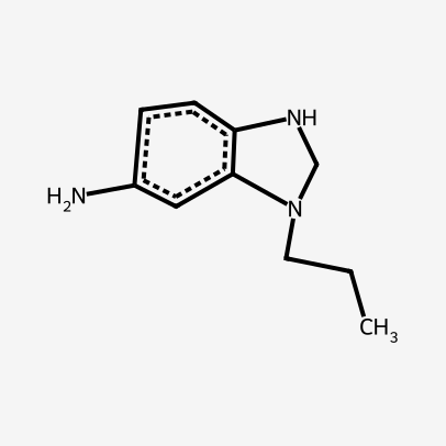 CCCN1CNc2ccc(N)cc21